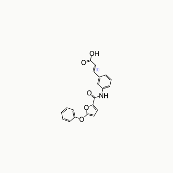 O=C(O)/C=C/c1cccc(NC(=O)c2ccc(Oc3ccccc3)o2)c1